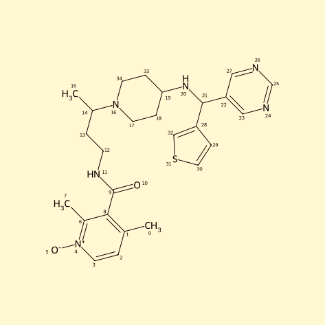 Cc1cc[n+]([O-])c(C)c1C(=O)NCCC(C)N1CCC(NC(c2cncnc2)c2ccsc2)CC1